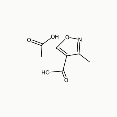 CC(=O)O.Cc1nocc1C(=O)O